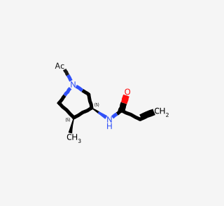 C=CC(=O)N[C@@H]1CN(C(C)=O)C[C@@H]1C